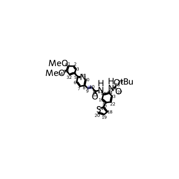 COc1ccc(-c2ccc(/C=C/C(=O)Nc3cc(-c4cccs4)ccc3NC(=O)OC(C)(C)C)cn2)cc1OC